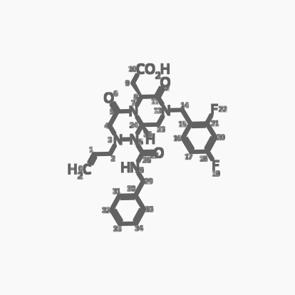 C=CCN1CC(=O)N2[C@@H](CC(=O)O)C(=O)N(Cc3ccc(F)cc3F)C[C@@H]2N1C(=O)NCc1ccccc1